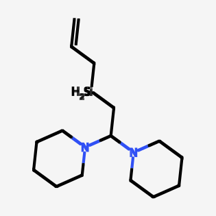 C=CC[SiH2]CC(N1CCCCC1)N1CCCCC1